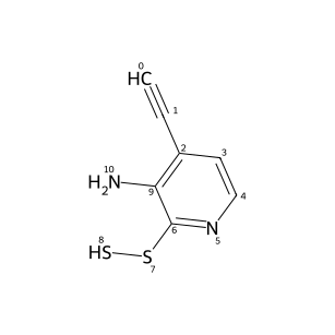 C#Cc1ccnc(SS)c1N